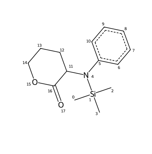 C[Si](C)(C)N(c1ccccc1)C1CCCOC1=O